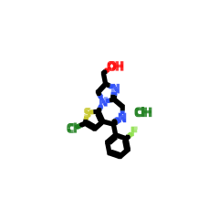 Cl.OCC1CN2C(=N1)CN=C(c1ccccc1F)c1cc(Cl)sc12